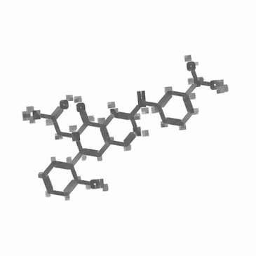 Cc1ccccc1-c1cc2cnc(Nc3cccc([S+](C)[O-])c3)nc2c(=O)n1CC(N)=O